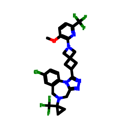 COc1ccc(C(F)(F)F)nc1N1CC2(CC(c3nnc4n3-c3ccc(Cl)cc3CN(C3(C(F)(F)F)CC3)C4)C2)C1